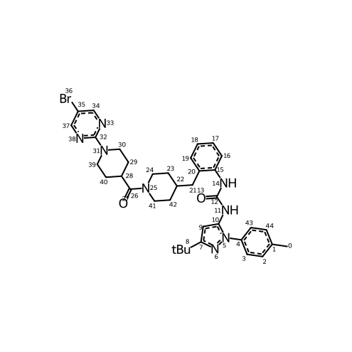 Cc1ccc(-n2nc(C(C)(C)C)cc2NC(=O)Nc2ccccc2CC2CCN(C(=O)C3CCN(c4ncc(Br)cn4)CC3)CC2)cc1